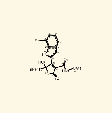 CCCCCC1(O)OC(=O)C(C(=O)NOC)=C1c1cc2cccc(F)c2[nH]1